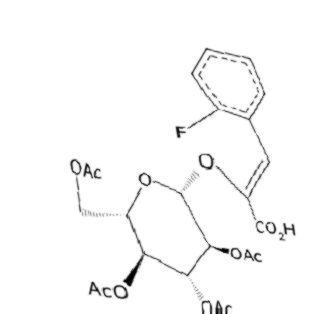 CC(=O)OC[C@@H]1O[C@H](O/C(=C\c2ccccc2F)C(=O)O)[C@@H](OC(C)=O)[C@H](OC(C)=O)[C@H]1OC(C)=O